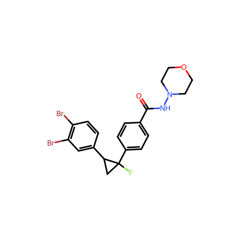 O=C(NN1CCOCC1)c1ccc(C2(F)CC2c2ccc(Br)c(Br)c2)cc1